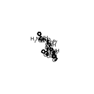 CCCC(NC(=O)C1C[C@H](NS(=O)(=O)c2ccc3c(c2)CCO3)CN1C(=O)C(NC(=O)OCC(C)C)C1CCCCC1)C(=O)C(=O)NCC(=O)NC(C(N)=O)c1ccccc1